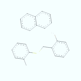 Cc1ccccc1SCc1ccccc1Br.c1ccc2ccccc2c1